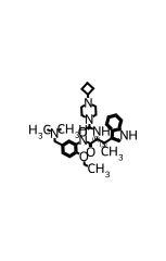 CCOc1ccc(CN(C)C)cc1NC(=O)[C@H](NC(=O)N1CCN(C2CCC2)CC1)[C@@H](C)c1c[nH]c2ccccc12